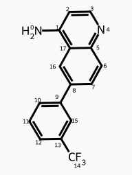 Nc1ccnc2ccc(-c3cccc(C(F)(F)F)c3)cc12